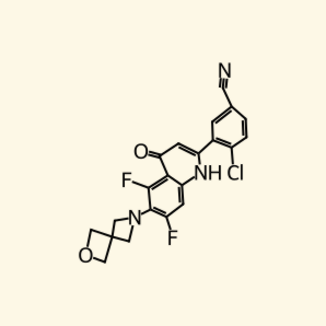 N#Cc1ccc(Cl)c(-c2cc(=O)c3c(F)c(N4CC5(COC5)C4)c(F)cc3[nH]2)c1